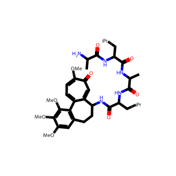 COc1cc2c(c(OC)c1OC)-c1ccc(OC)c(=O)cc1C(NC(=O)C(CC(C)C)NC(=O)C(C)NC(=O)C(CC(C)C)NC(=O)C(C)N)CC2